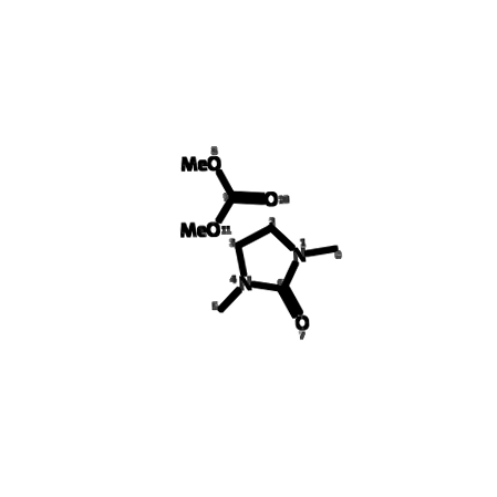 CN1CCN(C)C1=O.COC(=O)OC